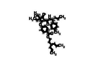 C=CCN(CC=C)CCOC(=O)c1ccc(O[C@@H]2N(C(=O)N[C@H](CCC)c3ccc(C)cc3)C(=O)C2(CC)CC)cc1